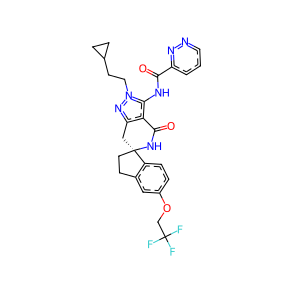 O=C(Nc1c2c(nn1CCC1CC1)C[C@]1(CCc3cc(OCC(F)(F)F)ccc31)NC2=O)c1cccnn1